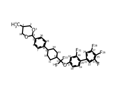 CC1COC(c2ccc(C3CCC(C(F)(F)Oc4ccc(-c5cc(F)c(F)c(F)c5)c(F)c4)CC3)cc2)OC1